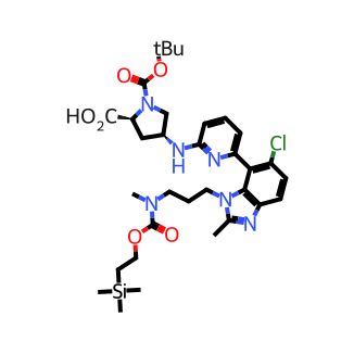 Cc1nc2ccc(Cl)c(-c3cccc(N[C@H]4C[C@@H](C(=O)O)N(C(=O)OC(C)(C)C)C4)n3)c2n1CCCN(C)C(=O)OCC[Si](C)(C)C